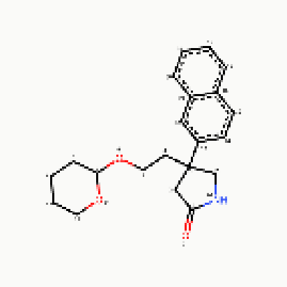 O=C1CC(CCOC2CCCCO2)(c2ccc3ccccc3c2)CN1